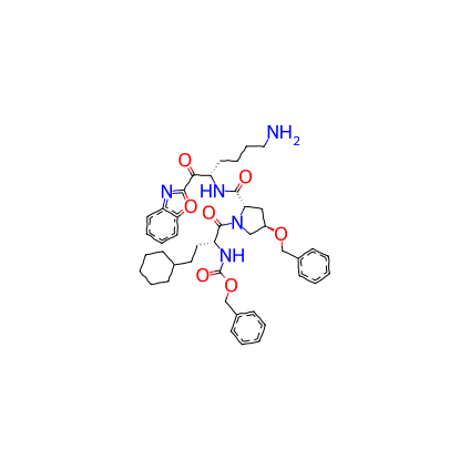 NCCCC[C@H](NC(=O)[C@@H]1C[C@@H](OCc2ccccc2)CN1C(=O)[C@@H](CCC1CCCCC1)NC(=O)OCc1ccccc1)C(=O)c1nc2ccccc2o1